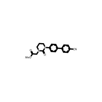 COC(=O)CN1CCCN(c2ccc(-c3ccc(C#N)cc3)cc2)C1=O